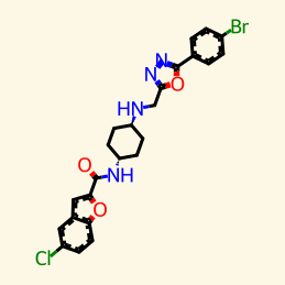 O=C(N[C@H]1CC[C@H](NCc2nnc(-c3ccc(Br)cc3)o2)CC1)c1cc2cc(Cl)ccc2o1